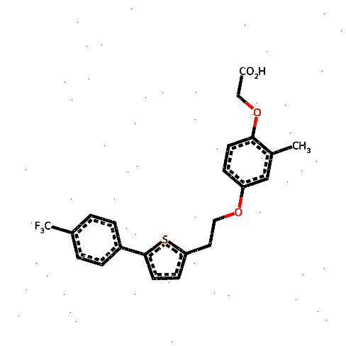 Cc1cc(OCCc2ccc(-c3ccc(C(F)(F)F)cc3)s2)ccc1OCC(=O)O